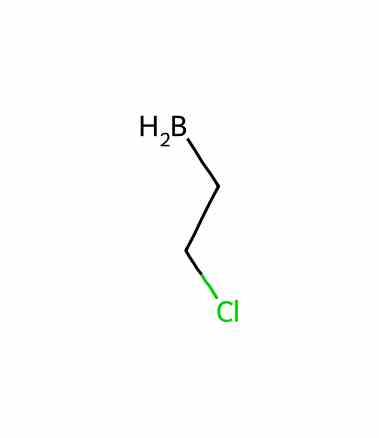 BCCCl